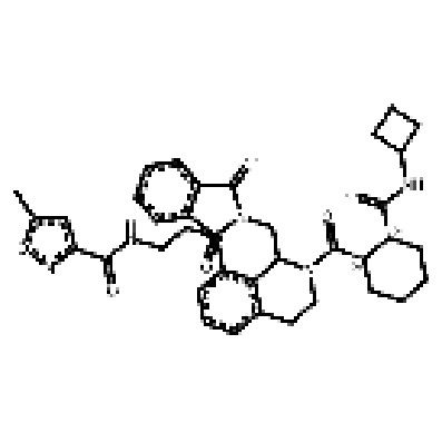 Cc1cc(C(=O)NCCOc2cccc3c2C(CN2C(=O)c4ccccc4C2=O)N(C(=O)[C@@H]2CCCC[C@@H]2C(=O)NC2CCC2)CC3)no1